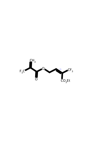 C=C(C(=O)OC/C=C(\C(=O)OCC)C(F)(F)F)C(F)(F)F